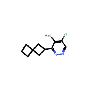 COc1c(Cl)cnnc1C1CC2(CCC2)C1